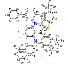 Cc1cc2c3c(c1)N(c1cc(-c4ccccc4)ccc1C)c1c(sc4ccc(C(C)(C)C)cc14)B3c1cc3c(cc1N2c1ccc2c(c1)C(C)(C)CCC2(C)C)C(C)(C)CCC3(C)C